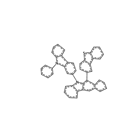 c1ccc(-n2c3ccccc3c3ccc(-n4c5ccccc5c5cc6ccccc6c(-c6ccc7sc8ccccc8c7c6)c54)cc32)cc1